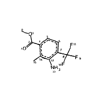 COC(=O)c1ccc(C(F)(F)F)c(N)c1C